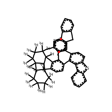 [2H]C1C([2H])([2H])C([2H])([2H])C([2H])([2H])C([2H])([2H])C1([2H])c1ccc(-c2c(-c3c(C)c(C)cc4c3Cc3ccccc3-4)ccc3sc4ccccc4c23)c(-c2ccnnn2)c1C1([2H])C([2H])C([2H])([2H])C([2H])([2H])C([2H])([2H])C1([2H])[2H]